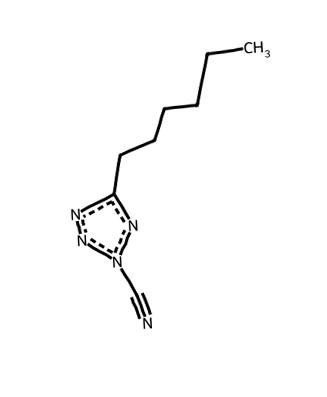 CCCCCCc1nnn(C#N)n1